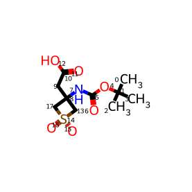 CC(C)(C)OC(=O)NC1(CC(=O)O)CS(=O)(=O)C1